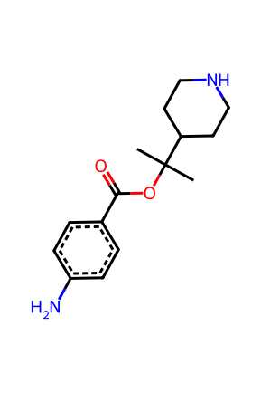 CC(C)(OC(=O)c1ccc(N)cc1)C1CCNCC1